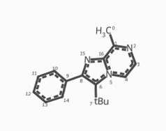 Cc1nccn2c(C(C)(C)C)c(-c3ccccc3)nc12